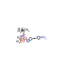 CC(CCn1ncc2cc(C#Cc3ccc(N)cc3)ccc21)(C(=O)NOCC[Si](C)(C)C)S(C)(=O)=O